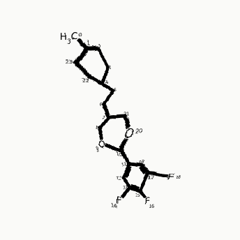 CC1CCC(CCC2COC(c3cc(F)c(F)c(F)c3)OC2)CC1